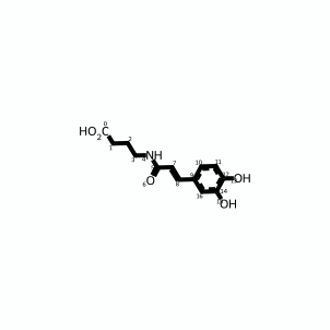 O=C(O)CCCNC(=O)C=Cc1ccc(O)c(O)c1